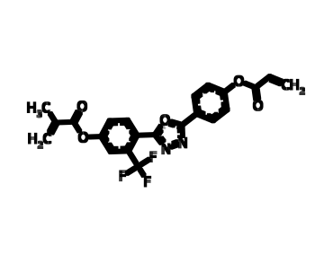 C=CC(=O)Oc1ccc(-c2nnc(-c3ccc(OC(=O)C(=C)C)cc3C(F)(F)F)o2)cc1